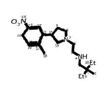 CCC(C)([CH]NCCN1CCC(C2C=C([N+](=O)[O-])CC=C2C)C1)CC